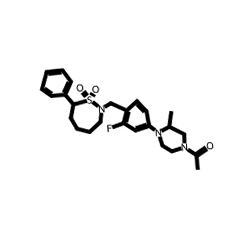 CC(=O)N1CCN(c2ccc(CN3CCCCC(c4ccccc4)S3(=O)=O)c(F)c2)C(C)C1